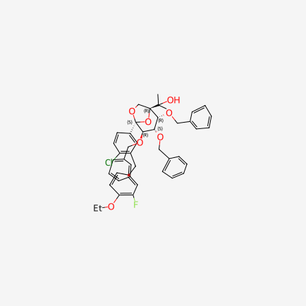 CCOc1ccc(Cc2cc([C@]34OC[C@@](C(C)(C)O)(O3)[C@H](OCc3ccccc3)[C@H](OCc3ccccc3)[C@H]4OCc3ccccc3)ccc2Cl)cc1F